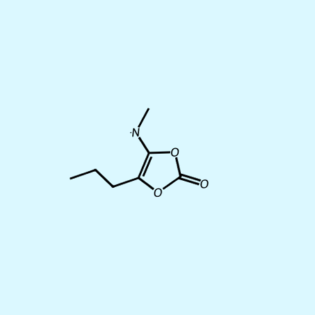 CCCc1oc(=O)oc1[N]C